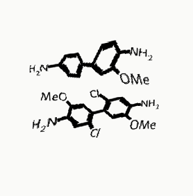 COc1cc(-c2cc(OC)c(N)cc2Cl)c(Cl)cc1N.COc1cc(-c2ccc(N)cc2)ccc1N